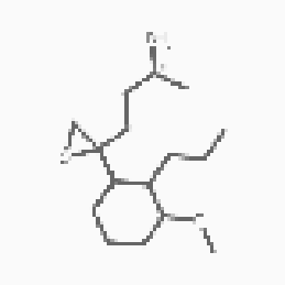 B[C@@H](C)CCC1(C2CCCC(OC)C2CCC)CO1